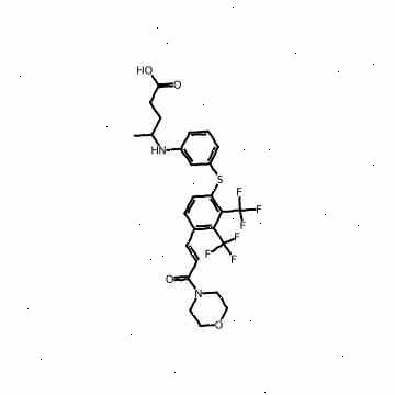 CC(CCC(=O)O)Nc1cccc(Sc2ccc(/C=C/C(=O)N3CCOCC3)c(C(F)(F)F)c2C(F)(F)F)c1